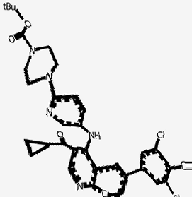 CC(C)(C)OC(=O)N1CCN(c2ccc(Nc3c(C(=O)C4CC4)cnc4ccc(-c5cc(Cl)c(O)c(Cl)c5)cc34)cn2)CC1